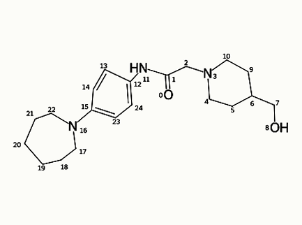 O=C(CN1CCC(CO)CC1)Nc1ccc(N2CCCCCC2)cc1